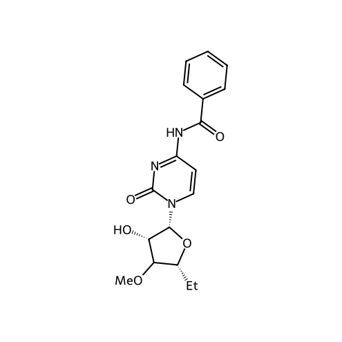 CC[C@H]1O[C@@H](n2ccc(NC(=O)c3ccccc3)nc2=O)[C@@H](O)C1OC